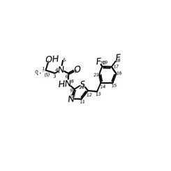 C[C@H](O)CN(C)C(=O)Nc1ncc(Cc2ccc(F)c(F)c2)s1